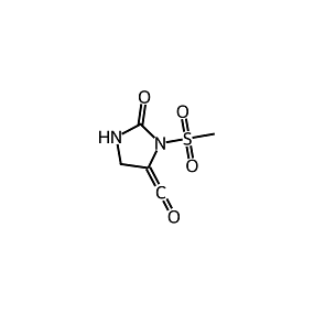 CS(=O)(=O)N1C(=O)NCC1=C=O